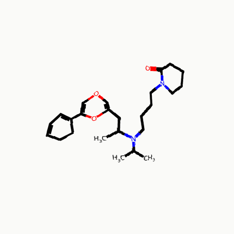 CC(C)N(CCCCN1CCCCC1=O)C(C)CC1=COC=C(C2=CC=CCC2)O1